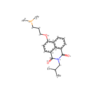 CCCCC(CC)CN1C(=O)c2cccc3c(OCCCP(CCC)CCC)ccc(c23)C1=O